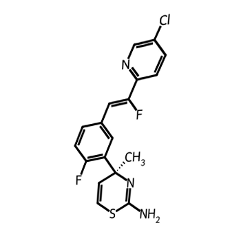 C[C@@]1(c2cc(/C=C(\F)c3ccc(Cl)cn3)ccc2F)C=CSC(N)=N1